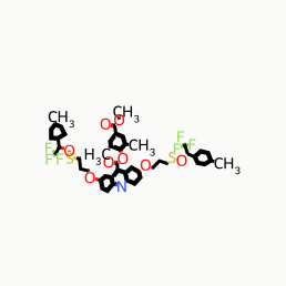 COC(=O)c1cc(C)c(OC(=O)c2c3cc(OCCCSOC(c4ccc(C)cc4)C(F)(F)F)ccc3nc3ccc(OCCCSOC(c4ccc(C)cc4)C(F)(F)F)cc23)c(C)c1